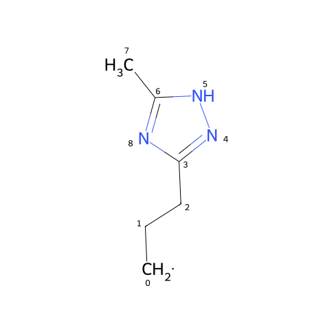 [CH2]CCc1n[nH]c(C)n1